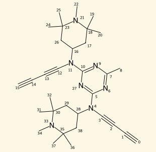 C#CC#CN(c1nc(C)nc(N(C#CC#C)C2CC(C)(C)N(C)C(C)(C)C2)n1)C1CC(C)(C)N(C)C(C)(C)C1